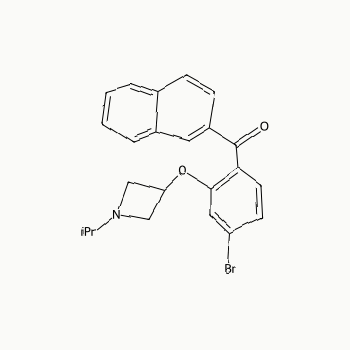 CC(C)N1CC(Oc2cc(Br)ccc2C(=O)c2ccc3ccccc3c2)C1